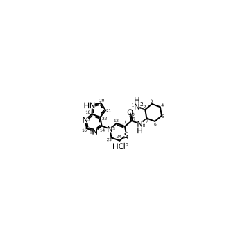 Cl.N[C@H]1CCCC[C@H]1NC(=O)C1=CN(c2ncnc3[nH]ccc23)CCS1